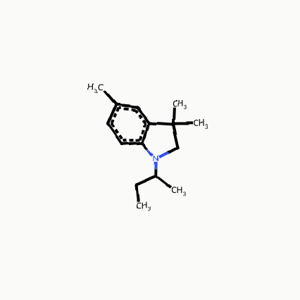 CCC(C)N1CC(C)(C)c2cc(C)ccc21